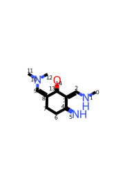 CN/C=C1\C(=N)CC/C(=C/N(C)C)C1=O